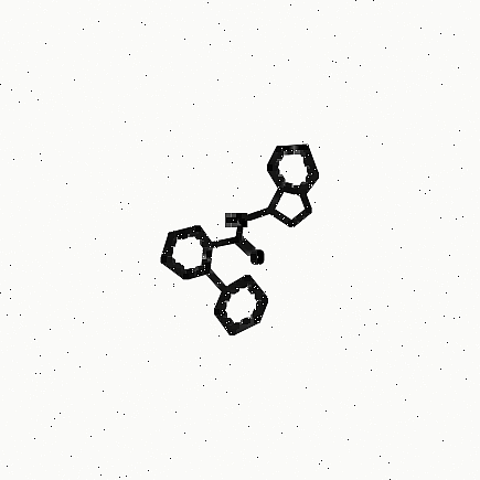 O=C(NC1CCc2ccccc21)c1ccccc1-c1ccccc1